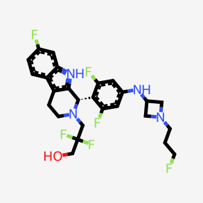 OCC(F)(F)CN1CCc2c([nH]c3cc(F)ccc23)[C@@H]1c1c(F)cc(NC2CN(CCCF)C2)cc1F